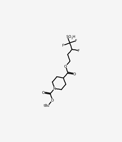 CC(C)(C)OC(=O)N1CCC(C(=O)OCCC(F)C(F)(F)S(=O)(=O)O)CC1